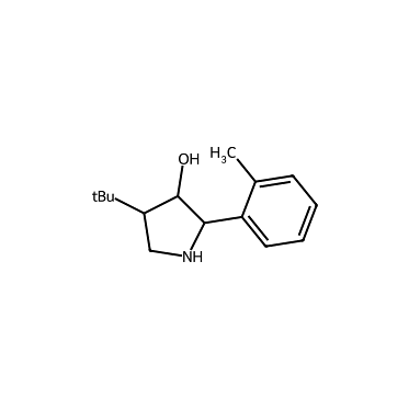 Cc1ccccc1C1NCC(C(C)(C)C)C1O